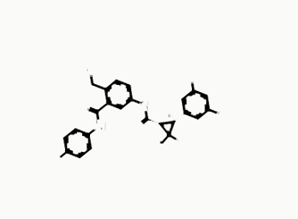 CCc1ccc(NC(=O)[C@H]2[C@H](c3cc(Cl)cc(Cl)c3)C2(Cl)Cl)cc1C(=O)Nc1ccc(F)cc1